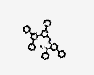 NC(c1ccccc1)c1cc(-c2ccccc2)ccc1/N=C/c1cc(-c2ccccn2)cc(-c2nc(-c3ccccc3)cc(-c3ccccc3)n2)c1